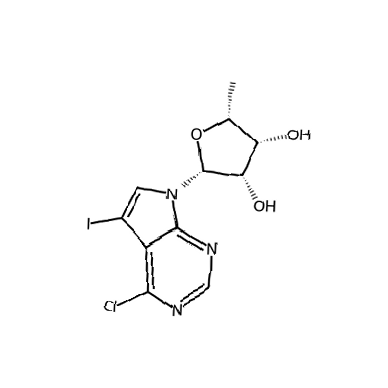 C[C@H]1O[C@@H](n2cc(I)c3c(Cl)ncnc32)[C@@H](O)[C@H]1O